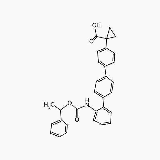 CC(OC(=O)Nc1ccccc1-c1ccc(-c2ccc(C3(C(=O)O)CC3)cc2)cc1)c1ccccc1